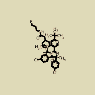 CCOc1cc(C(C)(C)C)ncc1C1=N[C@@](C)(c2ccc(Cl)cc2)[C@@](C)(c2ccc(Cl)cc2)N1C(=O)N1CCC(CC(=O)NCCCF)CC1